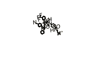 Cc1c(-c2ccnn2-c2ccc(C#N)cc2)n(C(=O)NC2CCN(C(=O)NCC[N+](C)(C)C)CC2)c(=O)n1-c1cccc(C(F)(F)F)c1.c1ccccc1